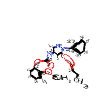 CCCOc1c/c(=N\C(=O)Oc2ccccc2OC)cnn1-c1ccccc1